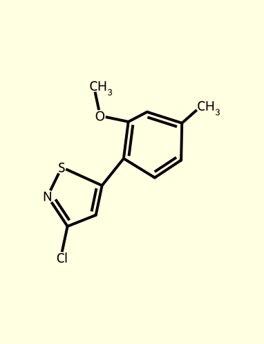 COc1cc(C)ccc1-c1cc(Cl)ns1